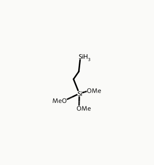 CO[Si](CC[SiH3])(OC)OC